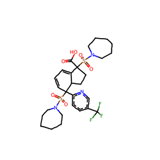 O=C(O)C1(S(=O)(=O)N2CCCCCC2)CCC2C1=CC=CC2(c1ccc(C(F)(F)F)cn1)S(=O)(=O)N1CCCCCC1